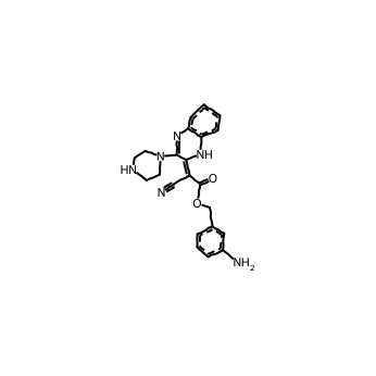 N#CC(C(=O)OCc1cccc(N)c1)=C1Nc2ccccc2N=C1N1CCNCC1